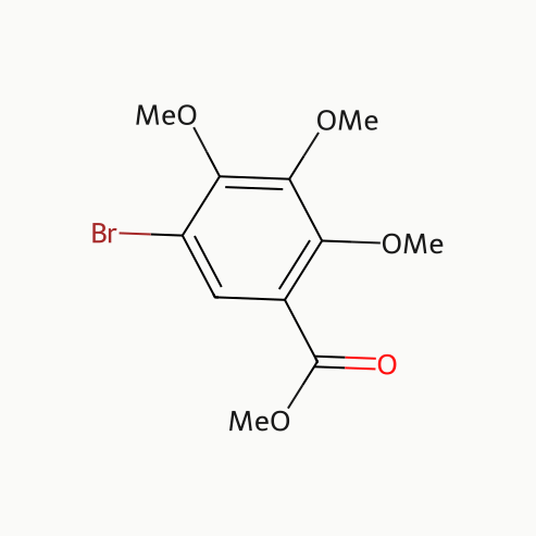 COC(=O)c1cc(Br)c(OC)c(OC)c1OC